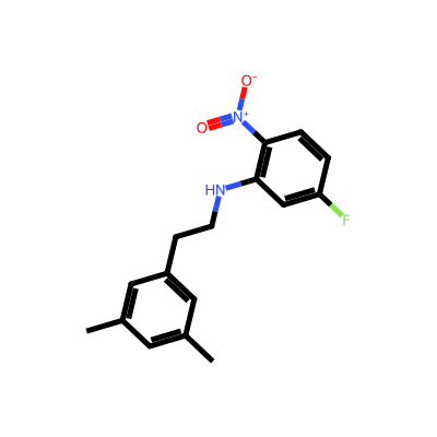 Cc1cc(C)cc(CCNc2cc(F)ccc2[N+](=O)[O-])c1